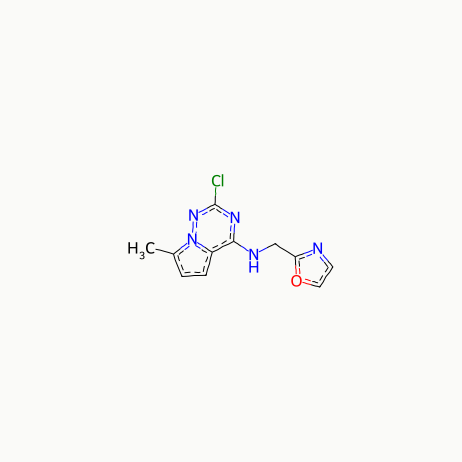 Cc1ccc2c(NCc3ncco3)nc(Cl)nn12